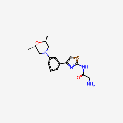 C[C@H]1CN(c2cccc(-c3csc(NC(=O)CN)n3)c2)C[C@H](C)O1